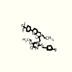 CCCN(Cc1ccc(-c2ccc(C(F)(F)F)cc2)nc1)C(=O)Cn1cc(OCC)c(=O)nc1SCc1ccc(F)cc1